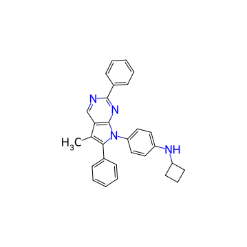 Cc1c(-c2ccccc2)n(-c2ccc(NC3CCC3)cc2)c2nc(-c3ccccc3)ncc12